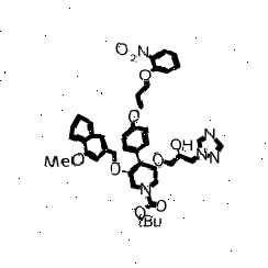 COc1cc(CO[C@H]2CN(C(=O)OC(C)(C)C)C[C@@H](OC[C@H](O)Cn3cncn3)[C@@H]2c2ccc(OCCCOc3ccccc3[N+](=O)[O-])cc2)cc2ccccc12